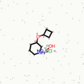 C1CC(OC2CCCNC2)C1.Cl.O=S(=O)(O)O